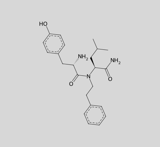 CC(C)C[C@@H](C(N)=O)N(CCc1ccccc1)C(=O)[C@@H](N)Cc1ccc(O)cc1